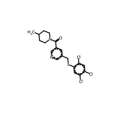 CC1CCN(C(=O)c2cncc(CSc3cc(Cl)c(Cl)cc3Cl)c2)CC1